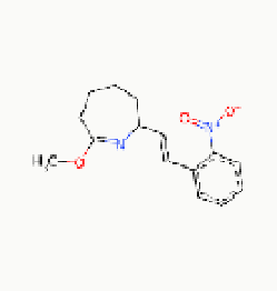 COC1=NC(/C=C/c2ccccc2[N+](=O)[O-])CCCC1